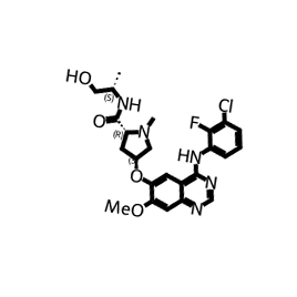 COc1cc2ncnc(Nc3cccc(Cl)c3F)c2cc1O[C@H]1C[C@H](C(=O)N[C@@H](C)CO)N(C)C1